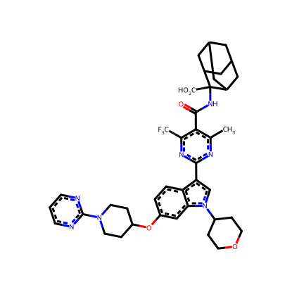 Cc1nc(-c2cn(C3CCOCC3)c3cc(OC4CCN(c5ncccn5)CC4)ccc23)nc(C(F)(F)F)c1C(=O)NC1(C(=O)O)C2CC3CC(C2)CC1C3